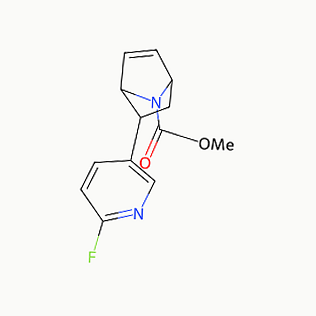 COC(=O)N1C2C=CC1C(c1ccc(F)nc1)C2